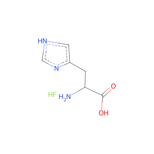 F.NC(Cc1c[nH]cn1)C(=O)O